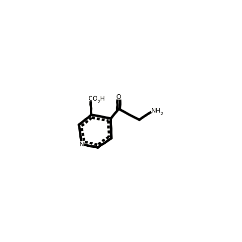 NCC(=O)c1ccncc1C(=O)O